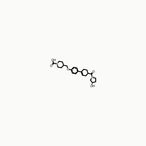 O=C(O)N1CCC(COc2ccc(C3=CCC(C(=O)N4CC[C@@H](O)C4)CC3)cc2)CC1